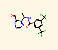 CC(NC(=O)c1cc(C(F)(F)F)cc(C(F)(F)F)c1)c1nccnc1C=O